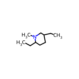 CCC1CCC(CC)N(C)C1